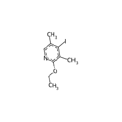 CCOc1ncc(C)c(I)c1C